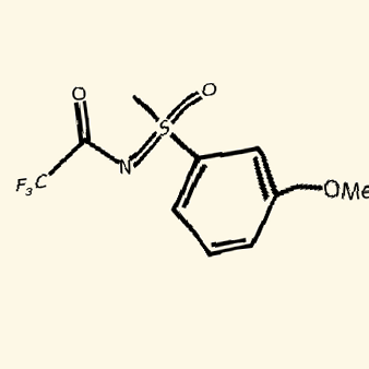 COc1cccc(S(C)(=O)=NC(=O)C(F)(F)F)c1